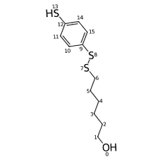 OCCCCCCSSc1ccc(S)cc1